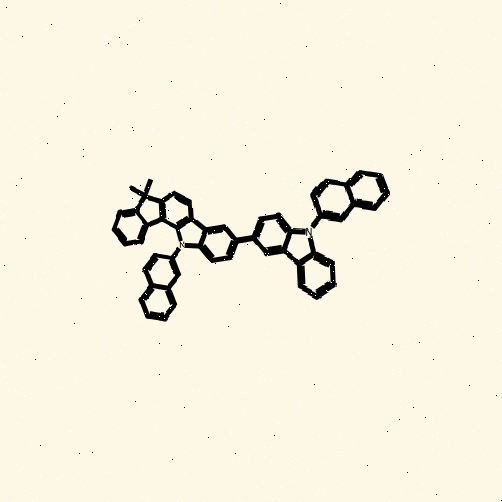 CC1(C)c2ccccc2-c2c1ccc1c3cc(-c4ccc5c(c4)c4ccccc4n5-c4ccc5ccccc5c4)ccc3n(-c3ccc4ccccc4c3)c21